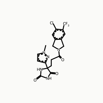 Cn1ccc(C2(CCC(=O)N3Cc4cc(Cl)c(C(F)(F)F)cc4C3)NC(=O)NC2=O)n1